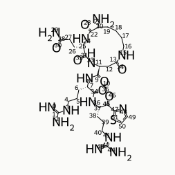 N=C(N)NCCC[C@H](NC(=O)[C@@H]1CC(=O)NCCCC[C@H](N)C(=O)N[C@@H](CCC(N)=O)C(=O)N1)C(=O)N[C@@H](CCCNC(=N)N)C(=O)c1nccs1